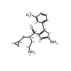 Cc1cccc(-c2sc(N)nc2C(=O)N(CCN)CC2CC2)c1